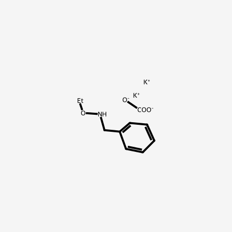 CCONCc1ccccc1.O=C([O-])[O-].[K+].[K+]